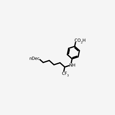 CCCCCCCCCCCCCCC(Nc1ccc(C(=O)O)cc1)C(F)(F)F